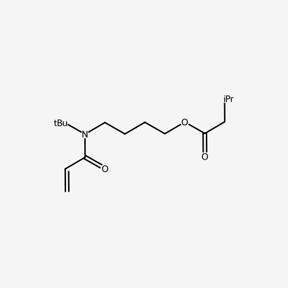 C=CC(=O)N(CCCCOC(=O)CC(C)C)C(C)(C)C